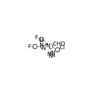 O=CC1=C(c2cc(Cl)ccc2-n2cnnn2)C=CN([C@@H](Cc2ccc(F)cc2)c2ncc(-c3ccc(F)cc3)[nH]2)C1